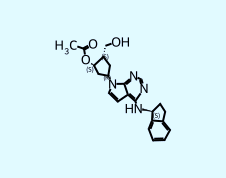 CC(=O)O[C@H]1C[C@H](n2ccc3c(N[C@H]4CCc5ccccc54)ncnc32)C[C@H]1CO